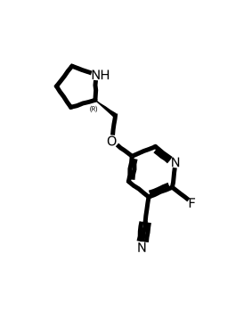 N#Cc1cc(OC[C@H]2CCCN2)cnc1F